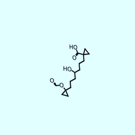 O=COC1(CCCC(O)CCCC2(C(=O)O)CC2)CC1